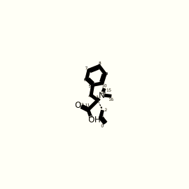 C=CC[C@@](Cc1ccccc1)(C(=O)O)N(C)C